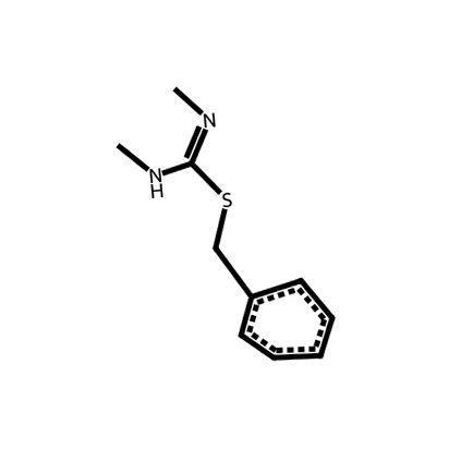 C/N=C(\NC)SCc1ccccc1